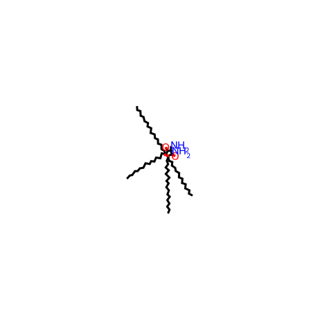 CCCCCCCCCCCCCCCCCCC(CCCCCCCCCCCCCC)C(=O)C(N)(CN)C(=O)C(CCCCCCCCCCCCCC)CCCCCCCCCCCCCCCCCC